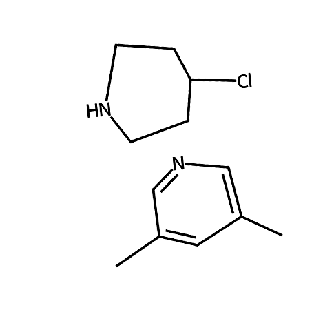 Cc1cncc(C)c1.ClC1CCNCC1